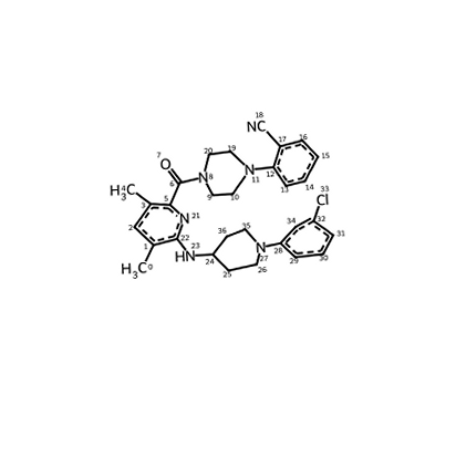 Cc1cc(C)c(C(=O)N2CCN(c3ccccc3C#N)CC2)nc1NC1CCN(c2cccc(Cl)c2)CC1